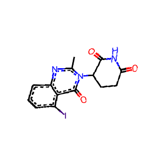 Cc1nc2cccc(I)c2c(=O)n1C1CCC(=O)NC1=O